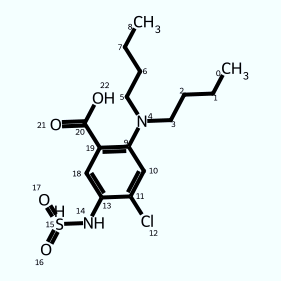 CCCCN(CCCC)c1cc(Cl)c(N[SH](=O)=O)cc1C(=O)O